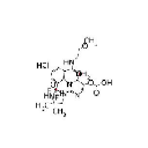 COCCNC(=O)c1cccc(C(F)(F)F)c1N1C(N2CC(C)(C)NC2=O)=NC=C(OC(=O)O)C1N.Cl